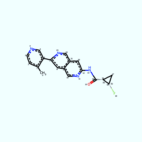 Cc1ccncc1-c1cc2cnc(NC(=O)[C@@H]3C[C@@H]3F)cc2cn1